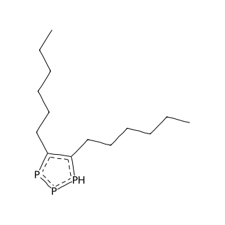 CCCCCCc1pp[pH]c1CCCCCC